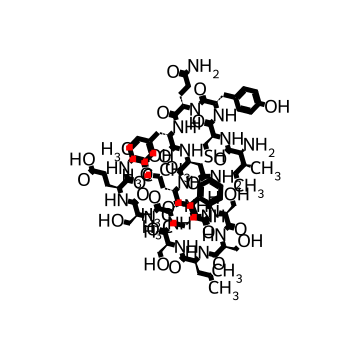 CC[C@H](C)[C@H](N)C(=O)N[C@@H](CS)C(=O)N[C@@H](Cc1ccc(O)cc1)C(=O)N[C@@H](CCC(N)=O)C(=O)N[C@@H](Cc1ccccc1)C(=O)N[C@@H](CC(N)=O)C(=O)N[C@@H](CC(C)C)C(=O)N[C@@H](CC(C)C)C(=O)N[C@@H](CO)C(=O)N[C@@H](CO)C(=O)N[C@@H](CC(C)C)C(=O)N[C@@H](CO)C(=O)N[C@@H](Cc1c[nH]c2ccccc12)C(=O)N[C@@H](CO)C(=O)N[C@@H](CCC(=O)O)C(=O)N[C@@H](C)C(=O)O